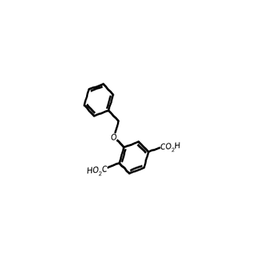 O=C(O)c1ccc(C(=O)O)c(OCc2ccccc2)c1